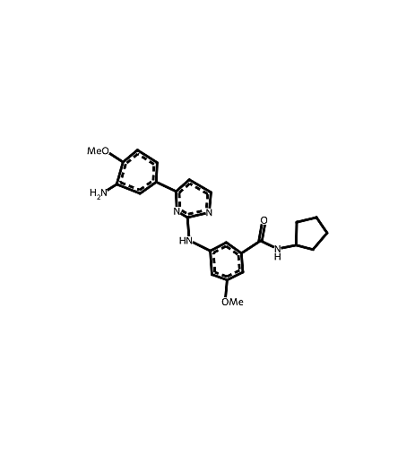 COc1cc(Nc2nccc(-c3ccc(OC)c(N)c3)n2)cc(C(=O)NC2CCCC2)c1